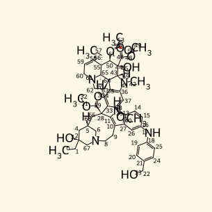 CC[C@]1(O)C[C@H]2CN(CCc3c([nH]c4ccc(Nc5ccc(CO)cc5)cc34)[C@@](C(=O)OC)(c3cc4c(cc3OC)N(C)[C@H]3[C@@](O)(C(=O)OC)[C@H](OC(C)=O)[C@]5(CC)C=CCN6CC[C@]43[C@@H]65)C2)C1